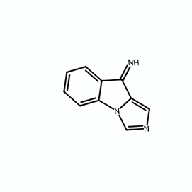 N=C1c2ccccc2-n2cncc21